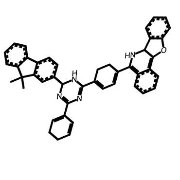 CC1(C)c2ccccc2-c2ccc(C3N=C(C4=CCCC=C4)N=C(C4=CC=C(C5=c6ccccc6=C6Oc7ccccc7C6N5)CC4)N3)cc21